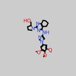 COc1cc(-n2cnc(Nc3nc(N4CCCC4CO)nc4c3CCCC4)c2)cc(OC)c1OC